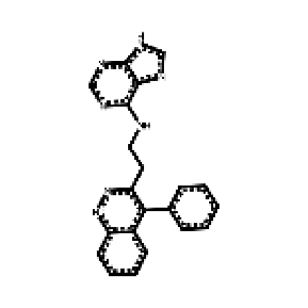 c1ccc(-c2c(CCNc3ncnc4[nH]cnc34)nnc3ccccc23)cc1